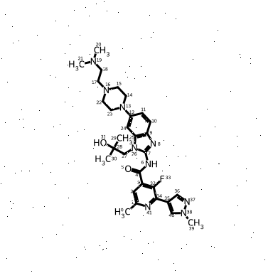 Cc1cc(C(=O)Nc2nc3ccc(N4CCN(CCN(C)C)CC4)cc3n2CC(C)(C)O)c(F)c(-c2cnn(C)c2)n1